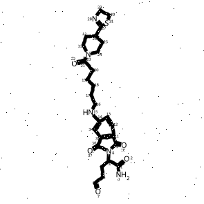 NC(=O)C(CCC=O)N1C(=O)c2ccc(NCCCCCC(=O)N3CCC(C4=NCCS4)CC3)cc2C1=O